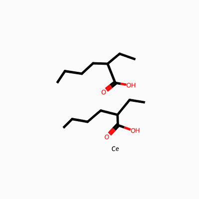 CCCCC(CC)C(=O)O.CCCCC(CC)C(=O)O.[Ce]